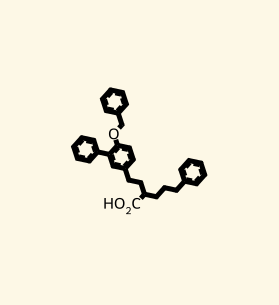 O=C(O)C(CCCc1ccccc1)CCc1ccc(OCc2ccccc2)c(-c2ccccc2)c1